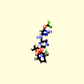 CC(C)(C)OC(=O)N1[C@H]2CC[C@@H]1[C@H](F)[C@H](Oc1cncc(Nc3cc(OC(F)F)[nH]n3)n1)C2